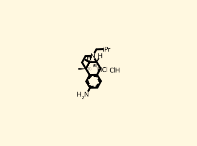 CC(C)CN1CC[C@@]2(C)c3cc(N)ccc3C[C@@H]1[C@H]2C.Cl.Cl